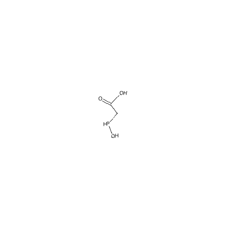 O=C(O)CPO